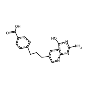 Nc1nc(O)c2cc(CCCc3ccc(C(=O)O)cc3)cnc2n1